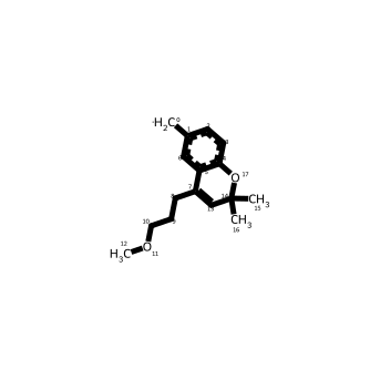 [CH2]c1ccc2c(c1)C(CCCOC)=CC(C)(C)O2